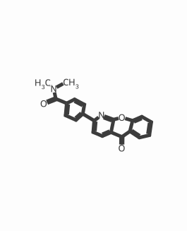 CN(C)C(=O)c1ccc(-c2ccc3c(=O)c4ccccc4oc3n2)cc1